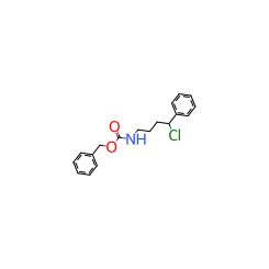 O=C(NCCCC(Cl)c1ccccc1)OCc1ccccc1